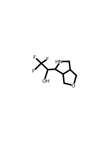 OC(C1NCC2COCC21)C(F)(F)F